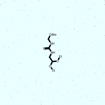 CCOC(CNC(=S)NCOC)OCC